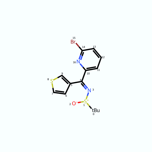 CC(C)(C)[S+]([O-])N=C(c1ccsc1)c1cccc(Br)n1